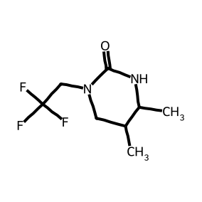 CC1CN(CC(F)(F)F)C(=O)NC1C